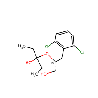 CCC(O)(CC)O[C@@H](CO)Cc1c(Cl)cccc1Cl